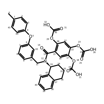 Cc1ccc(Oc2cccc(CN(C(=O)c3cc(OC(=O)O)c(OC(=O)O)cc3OC(=O)O)[C@H]3CCCc4ccccc43)c2)cc1